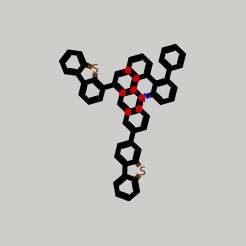 c1ccc(-c2ccccc2-c2c(-c3ccccc3)cccc2N(c2ccc(-c3ccc4c(c3)sc3ccccc34)cc2)c2cccc(-c3cccc4c3sc3ccccc34)c2)cc1